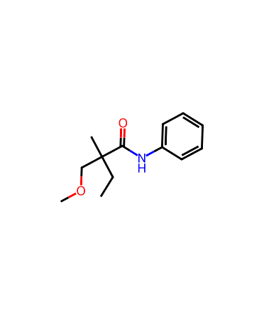 CCC(C)(COC)C(=O)Nc1ccccc1